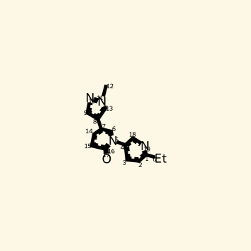 CCc1ccc(-n2cc(-c3cnn(C)c3)ccc2=O)cn1